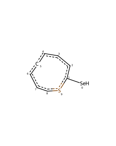 [SeH]c1cccccccs1